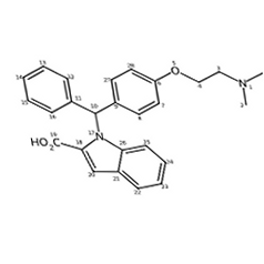 CN(C)CCOc1ccc(C(c2ccccc2)n2c(C(=O)O)cc3ccccc32)cc1